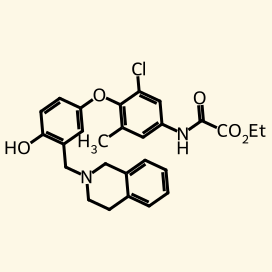 CCOC(=O)C(=O)Nc1cc(C)c(Oc2ccc(O)c(CN3CCc4ccccc4C3)c2)c(Cl)c1